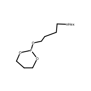 CCCCCCCCCCOP1OCCCO1